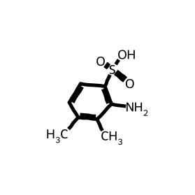 Cc1ccc(S(=O)(=O)O)c(N)c1C